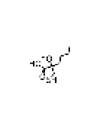 CCCCC(CS)(OC)C(=O)O